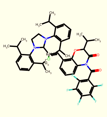 CC(C)c1cccc(C(C)C)c1N1CCN(c2c(C(C)C)cccc2C(C)C)[CH]1[Ru]([Cl])=[CH]c1cccc2c1OC(C(C)C)C(=O)N2C(=O)c1c(F)c(F)c(F)c(F)c1F